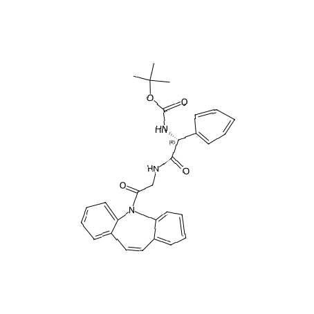 CC(C)(C)OC(=O)N[C@@H](C(=O)NCC(=O)N1c2ccccc2C=Cc2ccccc21)c1ccccc1